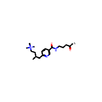 CC(CC[N+](C)(C)C)Cc1ccc(C(=O)NCCCC(=O)C(C)C)cn1